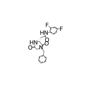 O=C(C[C@H]1NC(=O)CN(Cc2ccccc2)C1=O)Nc1ccc(F)cc1F